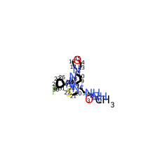 CNC(=O)NCC[N+]1(c2ccc(N3CCOCC3)nn2)C=CS/C1=N\c1cccc(F)c1